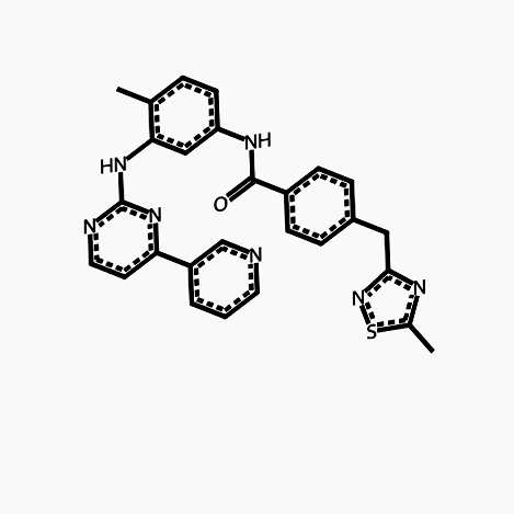 Cc1nc(Cc2ccc(C(=O)Nc3ccc(C)c(Nc4nccc(-c5cccnc5)n4)c3)cc2)ns1